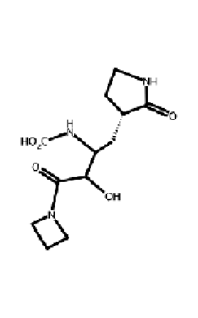 O=C(O)NC(C[C@@H]1CCNC1=O)C(O)C(=O)N1CCC1